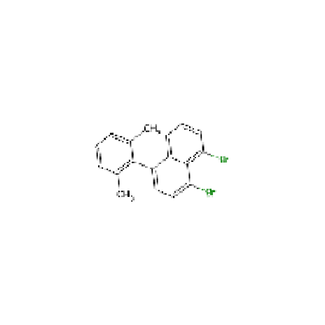 Cc1cccc(C)c1-c1ccc(Br)c2c(Br)cccc12